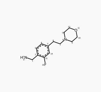 NCc1ccc(CCN2CCOCC2)cc1F